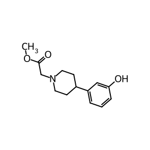 COC(=O)CN1CCC(c2cccc(O)c2)CC1